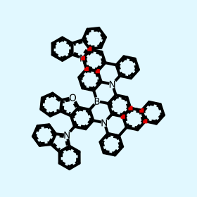 c1ccc(-c2cc3c4c(c2)N(c2ccccc2-c2ccccc2)c2cc(-n5c6ccccc6c6ccccc65)c5c(oc6ccccc65)c2B4c2ccc(-n4c5ccccc5c5ccccc54)cc2N3c2ccccc2-c2ccccc2)cc1